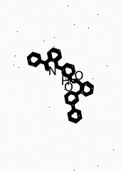 C1=CC(c2cnc(C3=C[C@@H]4C5=C(OC4C=C3)C3=C(CCC=C3)C3C=C(c4ccccc4)CCC3O5)c3ccccc23)=CCC1